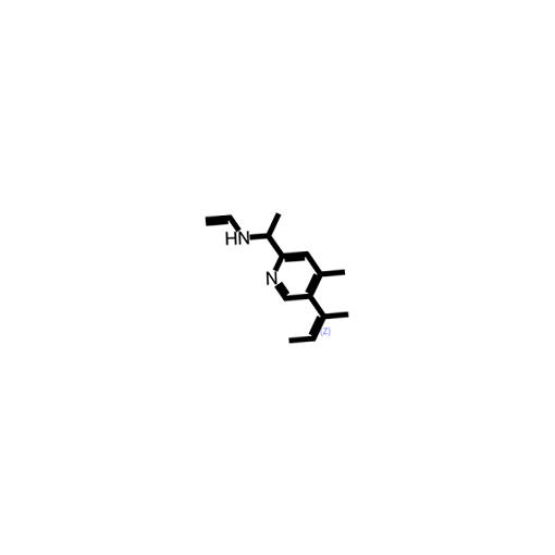 C=CNC(C)c1cc(C)c(/C(C)=C\C)cn1